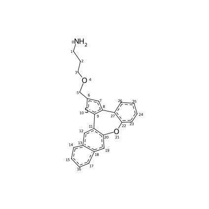 NCCCOCc1cc2c(s1)-c1cc3ccccc3cc1Oc1ccccc1-2